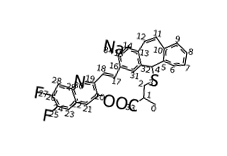 CC(CSC1c2ccccc2C=Cc2ccc(/C=C/c3ccc4cc(F)c(F)cc4n3)cc21)C(=O)[O-].[Na+]